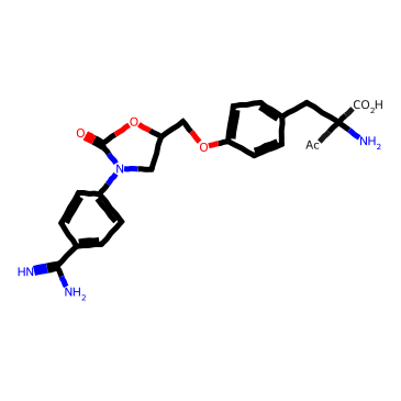 CC(=O)C(N)(Cc1ccc(OCC2CN(c3ccc(C(=N)N)cc3)C(=O)O2)cc1)C(=O)O